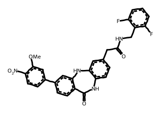 COc1cc(-c2ccc3c(c2)Nc2cc(CC(=O)NCc4c(F)cccc4F)ccc2NC3=O)ccc1[N+](=O)[O-]